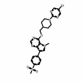 CCc1cnc(N2CCC(COc3ncnc4c(-c5ccc(S(C)(=O)=O)cc5)cn(C)c34)CC2)nc1